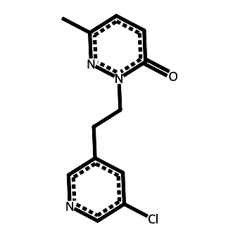 Cc1ccc(=O)n(CCc2cncc(Cl)c2)n1